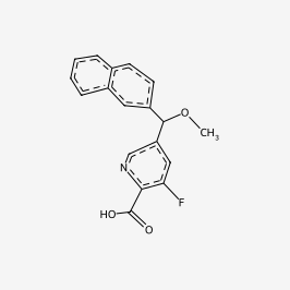 COC(c1cnc(C(=O)O)c(F)c1)c1ccc2ccccc2c1